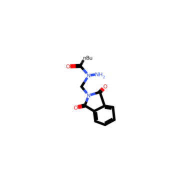 CCCCC(=O)N(N)CN1C(=O)c2ccccc2C1=O